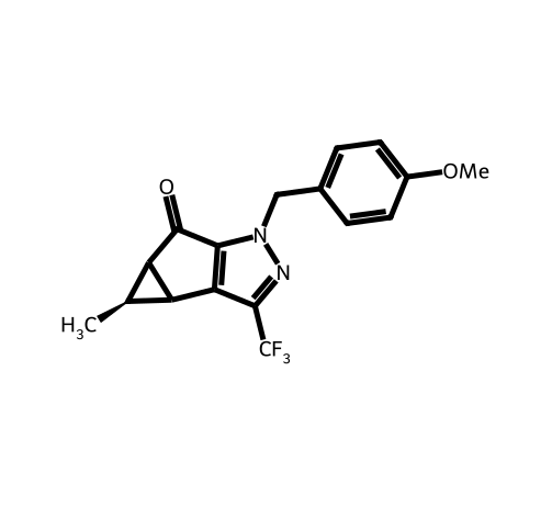 COc1ccc(Cn2nc(C(F)(F)F)c3c2C(=O)C2C3[C@H]2C)cc1